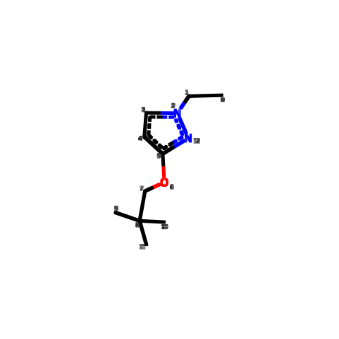 CCn1ccc(OCC(C)(C)C)n1